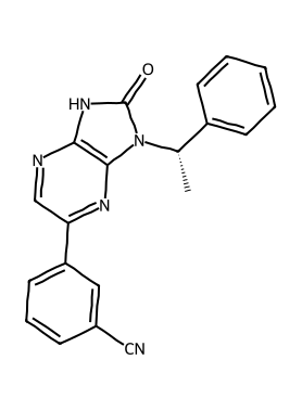 C[C@@H](c1ccccc1)n1c(=O)[nH]c2ncc(-c3cccc(C#N)c3)nc21